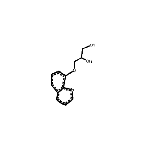 OCC(O)COc1cccc2cccnc12